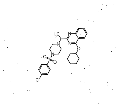 CC(c1nc(OC2CCCCC2)c2ccccc2n1)N1CCN(S(=O)(=O)c2ccc(Cl)cc2)CC1